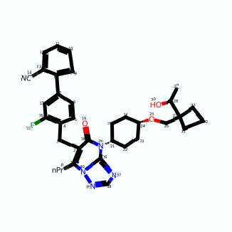 CCCc1c(Cc2ccc(-c3ccccc3C#N)cc2F)c(=O)n([C@H]2CC[C@H](OCC3(C(C)O)CCC3)CC2)c2ncnn12